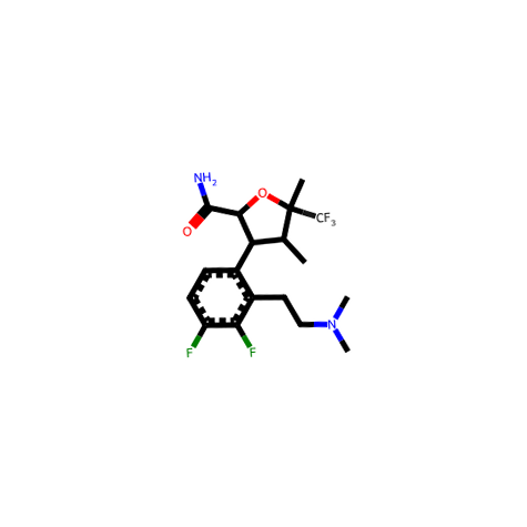 CC1C(c2ccc(F)c(F)c2CCN(C)C)C(C(N)=O)OC1(C)C(F)(F)F